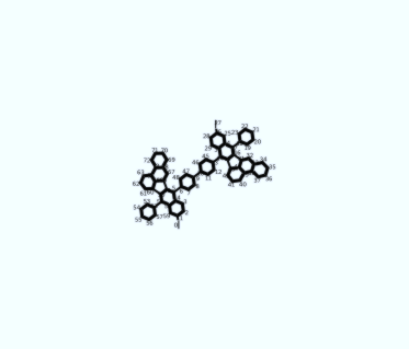 Ic1ccc2c(-c3ccc(-c4ccc(-c5c6c(c(-c7ccccc7)c7cc(I)ccc57)-c5cc7ccccc7c7cccc-6c57)cc4)cc3)c3c(c(-c4ccccc4)c2c1)-c1cccc2c1c-3cc1ccccc12